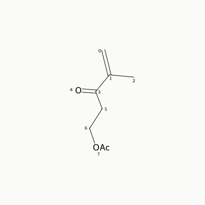 C=C(C)C(=O)CCOC(C)=O